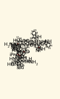 CC[C@H](C)[C@H](NC(=O)[C@H](CO)NC(=O)[C@@H](NC(=O)[C@@H]1CCCN1C(=O)[C@H](CCSC)NC(=O)[C@H](CC(C)C)NC(=O)[C@@H]1CCCN1C(=O)[C@H](CCCNC(=N)N)NC(=O)[C@H](CCC(N)=O)NC(=O)[C@H](Cc1c[nH]c2ccccc12)NC(=O)[C@H](Cc1c[nH]cn1)NC(=O)[C@@H](N)Cc1c[nH]c2ccccc12)C(C)C)C(=O)N[C@@H](CCCCN)C(=O)O